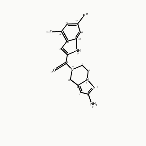 Nc1cc2n(n1)CCN(C(=O)c1cc3c(F)cc(F)cc3[nH]1)C2